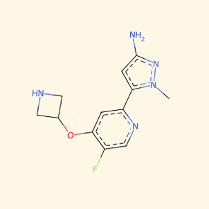 Cn1nc(N)cc1-c1cc(OC2CNC2)c(F)cn1